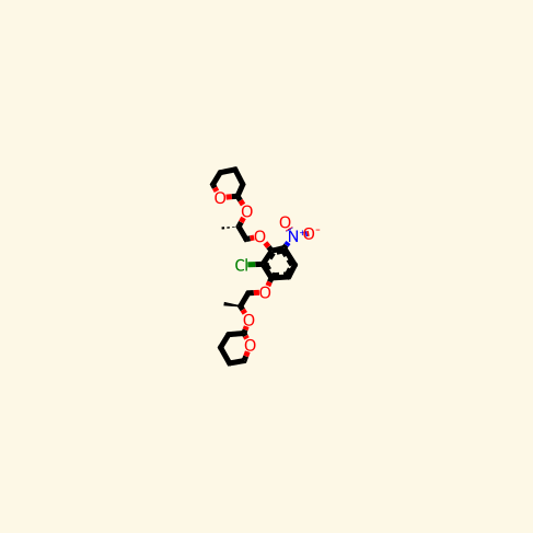 C[C@@H](COc1ccc([N+](=O)[O-])c(OC[C@H](C)OC2CCCCO2)c1Cl)OC1CCCCO1